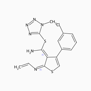 C=C/N=C1/SC=C(c2cccc(Cl)c2)/C1=C(/N)Sc1nnnn1C